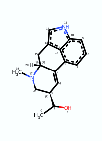 CC(O)[C@@H]1C=C2c3cccc4[nH]cc(c34)C[C@H]2N(C)C1